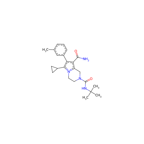 Cc1cccc(-c2c(C(N)=O)c3n(c2C2CC2)CCN(C(=O)NC(C)(C)C)C3)c1